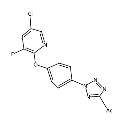 CC(=O)c1nnn(-c2ccc(Oc3ncc(Cl)cc3F)cc2)n1